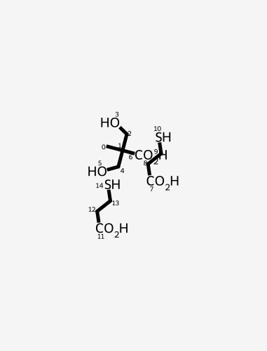 CC(CO)(CO)C(=O)O.O=C(O)CCS.O=C(O)CCS